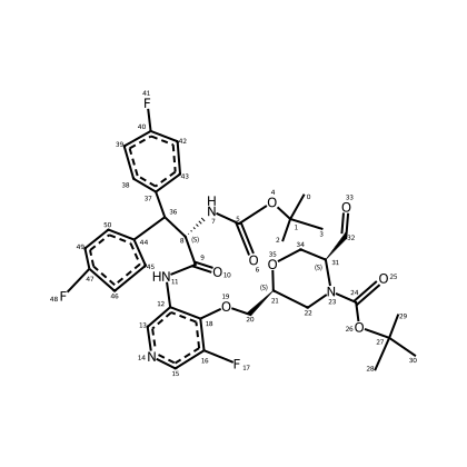 CC(C)(C)OC(=O)N[C@H](C(=O)Nc1cncc(F)c1OC[C@@H]1CN(C(=O)OC(C)(C)C)[C@H](C=O)CO1)C(c1ccc(F)cc1)c1ccc(F)cc1